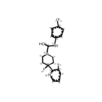 OC(Nc1ccc(C(F)(F)F)cc1)N1CCC(F)(c2ncccc2F)CC1